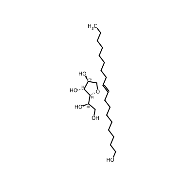 CCCCCCCCC=CCCCCCCCCO.OC[C@@H](O)[C@H]1OC[C@H](O)[C@H]1O